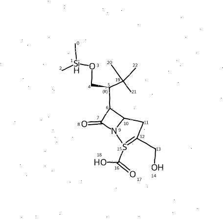 C[SiH](C)OC[C@H](C1C(=O)N2C1CC(CO)=S2C(=O)O)C(C)(C)C